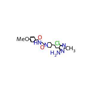 COc1ccc(C(=O)NCC(=O)N2CCC(CCc3c(N)nc(C)nc3Cl)CC2)cc1